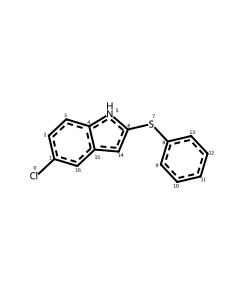 Clc1ccc2[nH]c(Sc3ccccc3)cc2c1